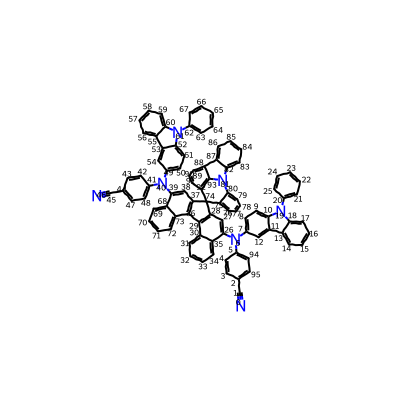 N#Cc1ccc(N(c2ccc3c(c2)c2ccccc2n3-c2ccccc2)c2cc3c(c4ccccc24)-c2c(cc(N(c4ccc(C#N)cc4)c4ccc5c(c4)c4ccccc4n5-c4ccccc4)c4ccccc24)C32c3ccccc3-n3c4ccccc4c4cccc2c43)cc1